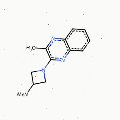 CNC1CN(c2nc3ccccc3nc2C)C1